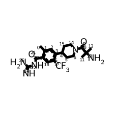 Cc1cc(C2CCN(C(=O)C(C)(C)N)CC2)c(C(F)(F)F)cc1C(=O)NC(=N)N